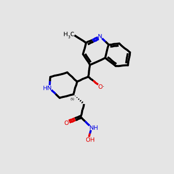 Cc1cc(C([O])C2CCNC[C@H]2CC(=O)NO)c2ccccc2n1